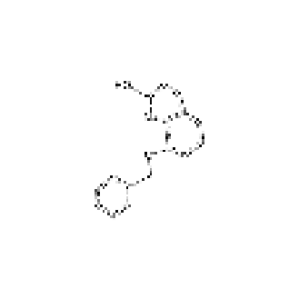 Oc1ccc2cccc(OCc3ccccc3)c2n1